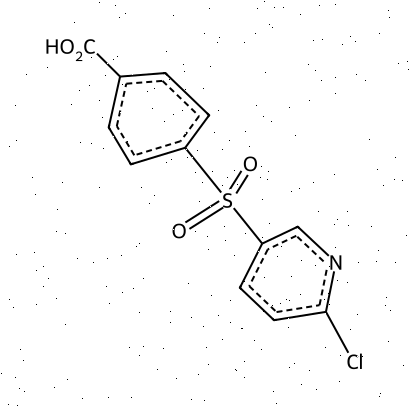 O=C(O)c1ccc(S(=O)(=O)c2ccc(Cl)nc2)cc1